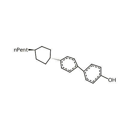 CCCCC[C@H]1CC[C@H](c2ccc(-c3ccc(O)cc3)cc2)CC1